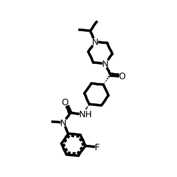 CC(C)N1CCN(C(=O)[C@H]2CC[C@@H](NC(=O)N(C)c3cccc(F)c3)CC2)CC1